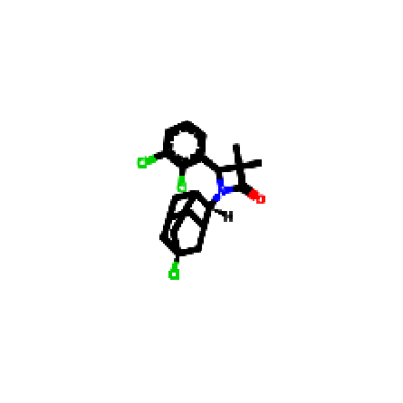 CC1(C)C(=O)N([C@H]2C3CC4CC2C[C@@](Cl)(C4)C3)C1c1cccc(Cl)c1Cl